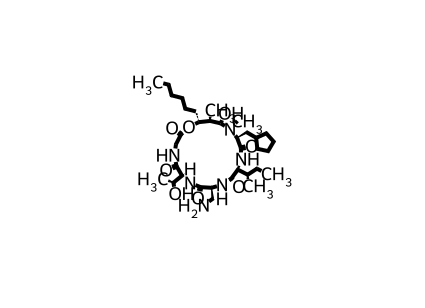 CCCCCC[C@H]1OC(=O)CNC(=O)[C@H]([C@H](C)O)NC(=O)[C@H](CN)NC(=O)[C@H]([C@H](C)CC)NC(=O)[C@H](CC2CCCC2)N(C)C(O)[C@@H]1C